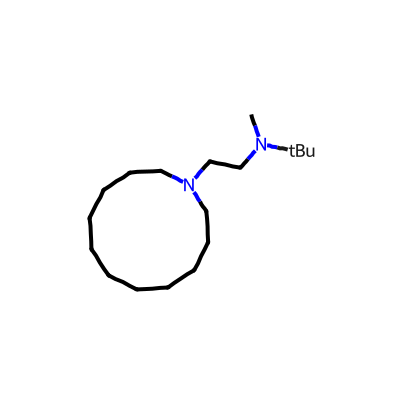 CN(CCN1CCCCCCCCCCC1)C(C)(C)C